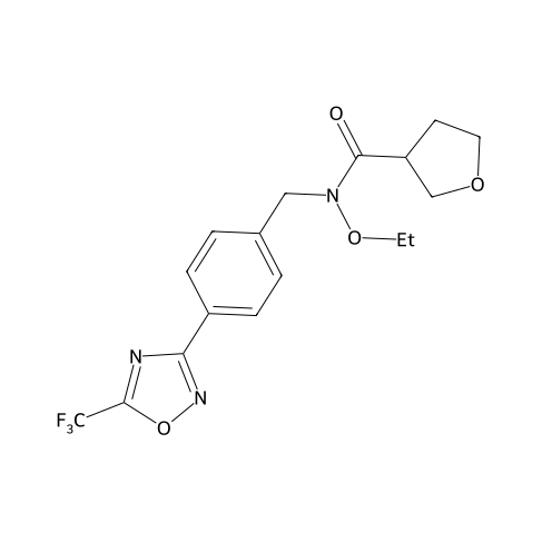 CCON(Cc1ccc(-c2noc(C(F)(F)F)n2)cc1)C(=O)C1CCOC1